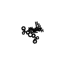 C=C(CNCCC1(c2nnn[nH]2)c2ccc(C(=O)N3CCCCC3)cc2CCc2cc(C(=O)N3CCCCC3)ccc21)N1C(C#N)C[C@@H]2C[C@@H]21